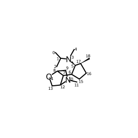 CC(C)N(C)[C@@H]1C(C2C3CN(C)C2CO3)CC[C@@H]1C